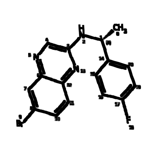 C[C@@H](Nc1cnc2cc(Br)ccc2n1)c1ccc(F)cc1